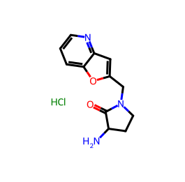 Cl.NC1CCN(Cc2cc3ncccc3o2)C1=O